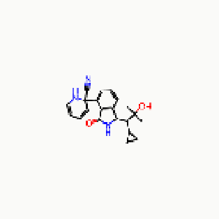 CC(C)(O)C(C1CC1)C1NC(=O)c2c1cccc2C1(C#N)C=CC=CN1